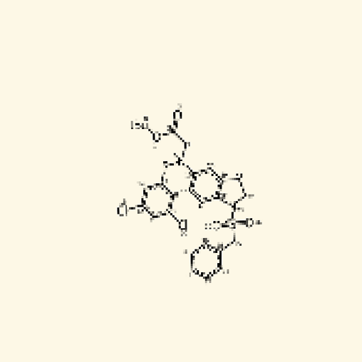 CC(C)(C)OC(=O)CN(Sc1cc(Cl)cc(Cl)c1)c1ccc2c(c1)CCN2S(=O)(=O)Cc1ccccc1